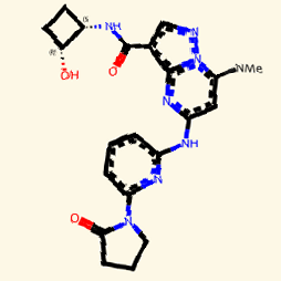 CNc1cc(Nc2cccc(N3CCCC3=O)n2)nc2c(C(=O)N[C@H]3CC[C@H]3O)cnn12